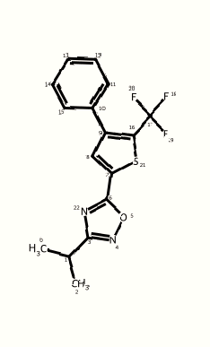 CC(C)c1noc(-c2cc(-c3ccccc3)c(C(F)(F)F)s2)n1